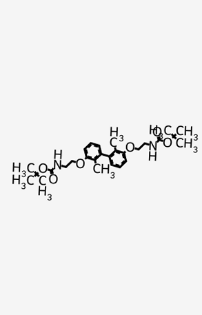 Cc1c(OCCNC(=O)OC(C)(C)C)cccc1-c1cccc(OCCNC(=O)OC(C)(C)C)c1C